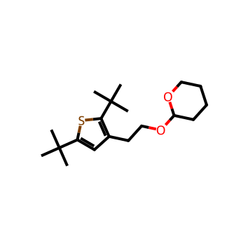 CC(C)(C)c1cc(CCOC2CCCCO2)c(C(C)(C)C)s1